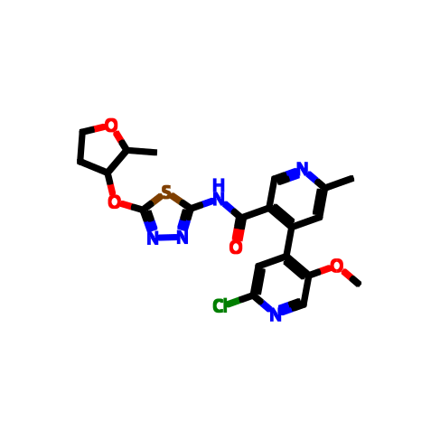 COc1cnc(Cl)cc1-c1cc(C)ncc1C(=O)Nc1nnc(OC2CCOC2C)s1